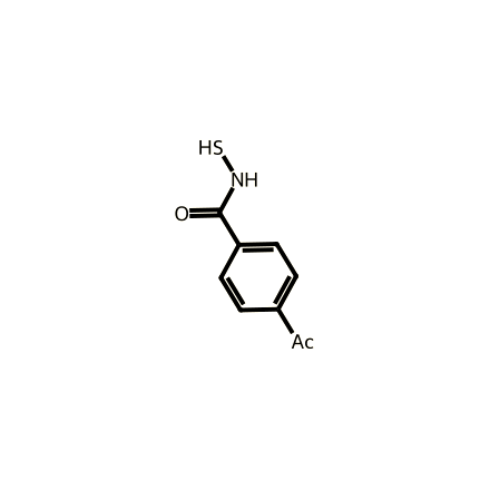 CC(=O)c1ccc(C(=O)NS)cc1